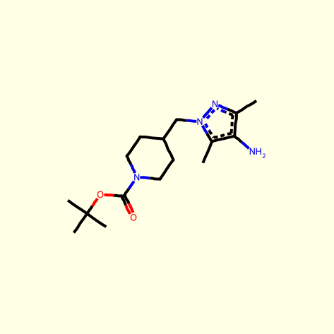 Cc1nn(CC2CCN(C(=O)OC(C)(C)C)CC2)c(C)c1N